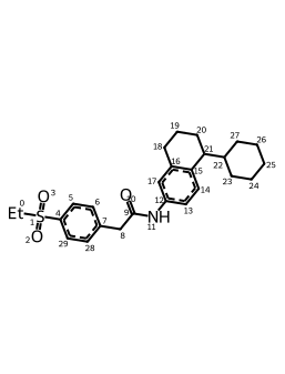 CCS(=O)(=O)c1ccc(CC(=O)Nc2ccc3c(c2)CCCC3C2CCCCC2)cc1